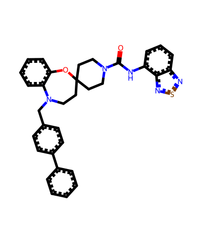 O=C(Nc1cccc2nsnc12)N1CCC2(CC1)CCN(Cc1ccc(-c3ccccc3)cc1)c1ccccc1O2